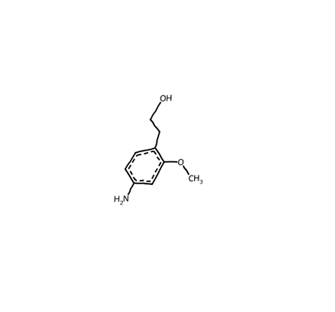 COc1cc(N)ccc1CCO